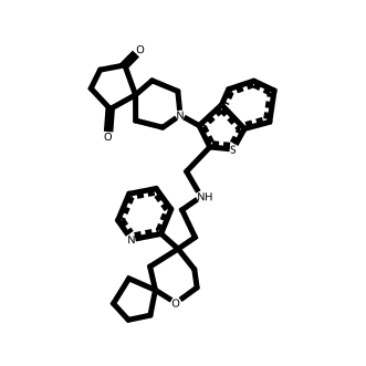 O=C1CCC(=O)C12CCN(c1c(CNCCC3(c4ccccn4)CCOC4(CCCC4)C3)sc3ccccc13)CC2